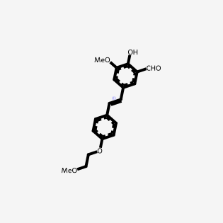 COCCOc1ccc(/C=C/c2cc(C=O)c(O)c(OC)c2)cc1